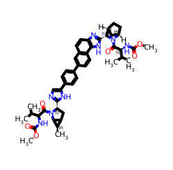 COC(=O)NC(C(=O)N1C2C(C[C@H]1c1ncc(-c3ccc(-c4ccc5c(ccc6nc([C@@H]7[C@H]8CC[C@H](C8)N7C(=O)[C@@H](NC(=O)OC)C(C)C)[nH]c65)c4)cc3)[nH]1)[C@H]2C)C(C)C